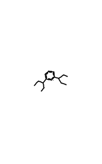 CCC(CC)c1[c]c(C(CC)CC)ccc1